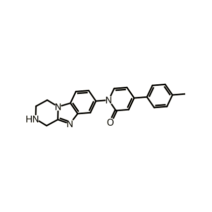 Cc1ccc(-c2ccn(-c3ccc4c(c3)nc3n4CCNC3)c(=O)c2)cc1